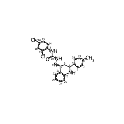 Cc1ccc(C2CC(=NNC(=O)Nc3ccc(Cl)cc3Cl)c3ccccc3N2)cc1